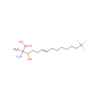 CC(N)(C(=O)O)C(O)CC/C=C/CCCCCCC(F)(F)F